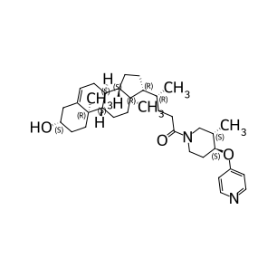 C[C@H](CCC(=O)N1CC[C@H](Oc2ccncc2)[C@@H](C)C1)[C@H]1CC[C@H]2[C@@H]3CC=C4C[C@@H](O)CC[C@]4(C)[C@H]3CC[C@]12C